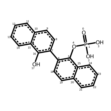 O=P(O)(O)Oc1c(-c2ccc3ccccc3c2O)ccc2ccccc12